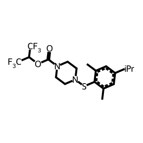 Cc1cc(C(C)C)cc(C)c1SN1CCN(C(=O)OC(C(F)(F)F)C(F)(F)F)CC1